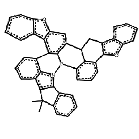 CC1(C)c2ccccc2-c2c1c1cccc3c1n2B1c2cccc4c2C(Cc2c-4oc4ccccc24)c2cc4oc5ccccc5c4c-3c21